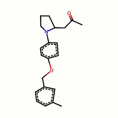 CC(=O)CC1CCCN1c1ccc(OCc2cccc(C)c2)cc1